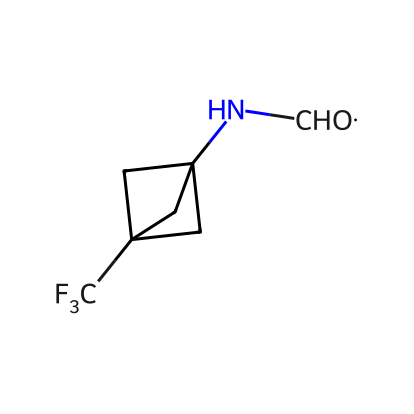 O=[C]NC12CC(C(F)(F)F)(C1)C2